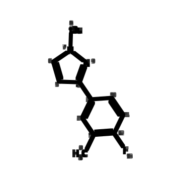 Cc1cc(-c2ccn(C(C)(C)C)n2)ccc1F